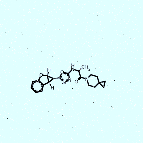 C[C@H](Nc1nnc([C@@H]2[C@H]3Oc4ccccc4[C@H]32)o1)C(=O)N1CCC2(CC1)CC2